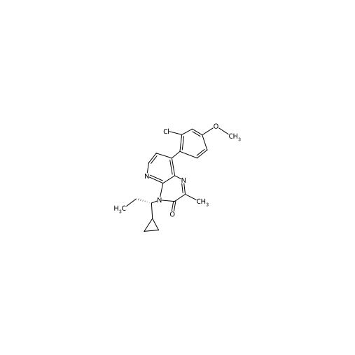 CC[C@@H](C1CC1)n1c(=O)c(C)nc2c(-c3ccc(OC)cc3Cl)ccnc21